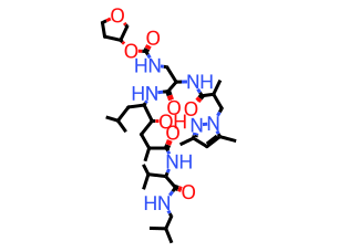 Cc1cc(C)n(CC(C)C(=O)NC(CNC(=O)OC2CCOC2)C(=O)NC(CC(C)C)C(O)CC(C)C(=O)NC(C(=O)NCC(C)C)C(C)C)n1